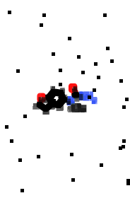 CC(C)(C)N(C(N)=O)c1ccc2c(c1)CCO2